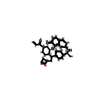 C=CC(=O)N1CCN(C(CC23CC(C2)C3)c2ccc([C@H](C)Nc3ncc4cnc(=O)n(CC)c4n3)cc2)CC1